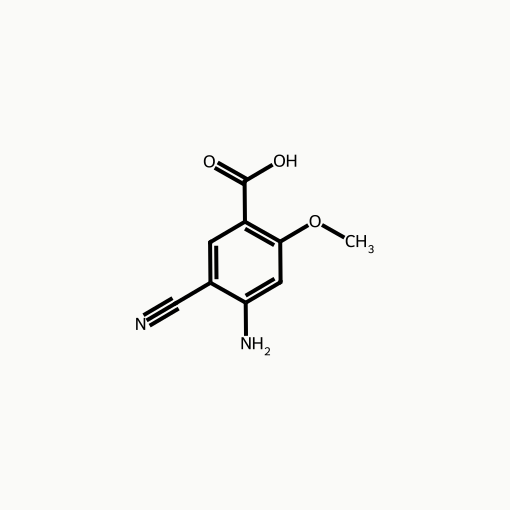 COc1cc(N)c(C#N)cc1C(=O)O